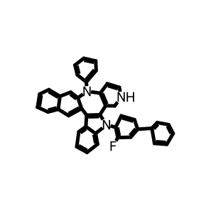 Fc1cc(-c2ccccc2)ccc1-n1c2c(c3ccccc31)-c1cc3ccccc3cc1N(c1ccccc1)C1=C2CNC=C1